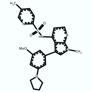 COc1cc(-c2cn(C)c3nccc(NS(=O)(=O)c4ccc(C)cn4)c23)cc(N2CCCC2)c1